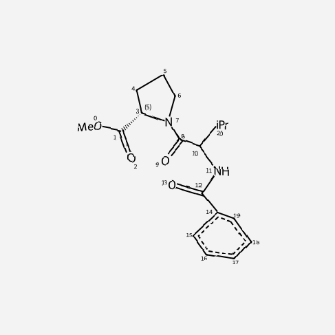 COC(=O)[C@@H]1CCCN1C(=O)C(NC(=O)c1ccccc1)C(C)C